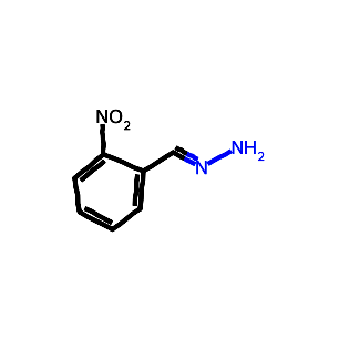 NN=Cc1ccccc1[N+](=O)[O-]